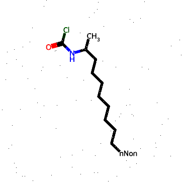 CCCCCCCCCCCCCCCCCC(C)NC(=O)Cl